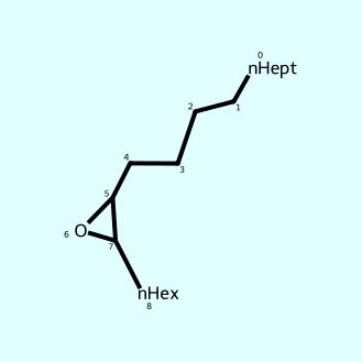 CCCCCCCCCCCC1OC1CCCCCC